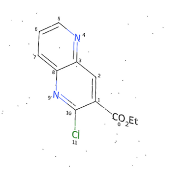 CCOC(=O)c1cc2ncccc2nc1Cl